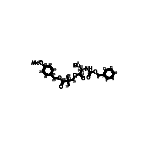 CC[C@H](C)[C@H](NC(=O)OCc1ccccc1)C(=O)OCC(C)(C)C(=O)OCc1ccc(OC)cc1